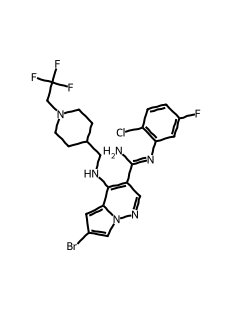 N/C(=N\c1cc(F)ccc1Cl)c1cnn2cc(Br)cc2c1NCC1CCN(CC(F)(F)F)CC1